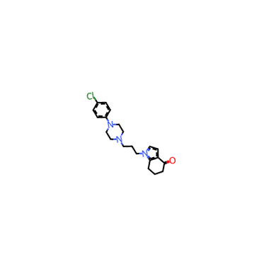 O=C1CCCc2c1ccn2CCCN1CCN(c2ccc(Cl)cc2)CC1